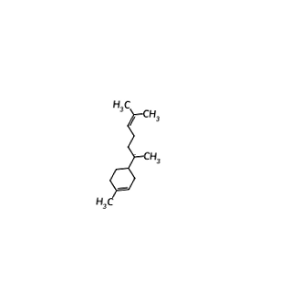 C[C](CCC=C(C)C)C1CC=C(C)CC1